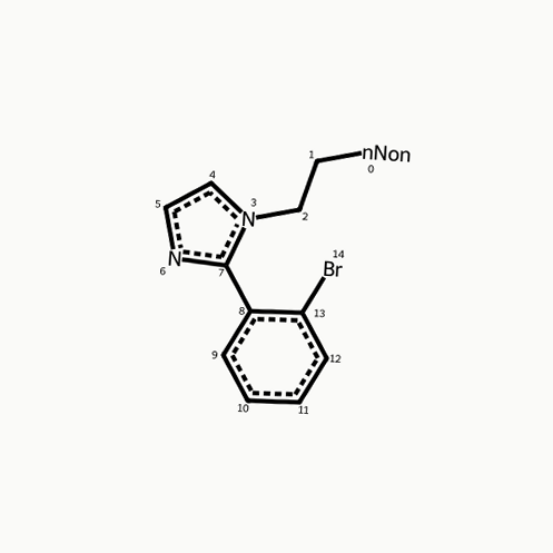 CCCCCCCCCCCn1ccnc1-c1ccccc1Br